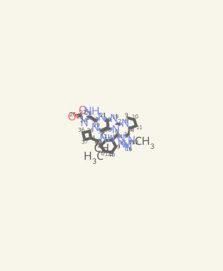 CC1CCC(Cn2c(N3CCC[C@H]3c3nnnn3C)nc3nc(-c4nc(=O)o[nH]4)nc(N[C@H](C)C4CCC4)c32)CC1